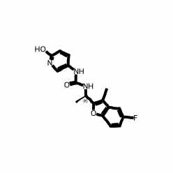 Cc1c([C@@H](C)NC(=O)Nc2ccc(O)nc2)oc2ccc(F)cc12